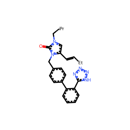 CC/C=C/c1cn(CC(C)C)c(=O)n1Cc1ccc(-c2ccccc2-c2nnn[nH]2)cc1